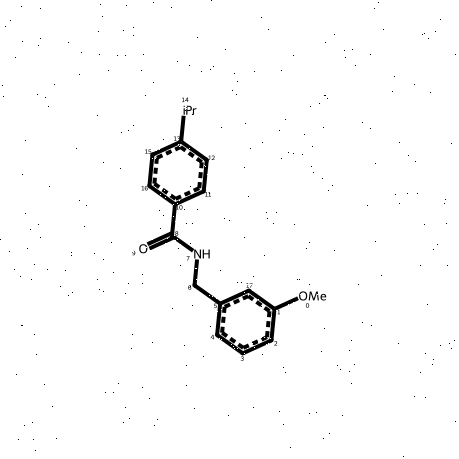 COc1cccc(CNC(=O)c2ccc(C(C)C)cc2)c1